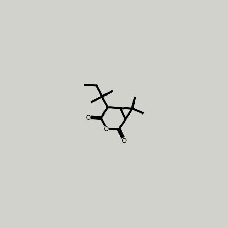 CCC(C)(C)C1C(=O)OC(=O)C2C1C2(C)C